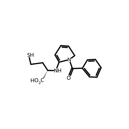 O=C(O)[C@H](CCS)NC1=CC=CCN1C(=O)c1ccccc1